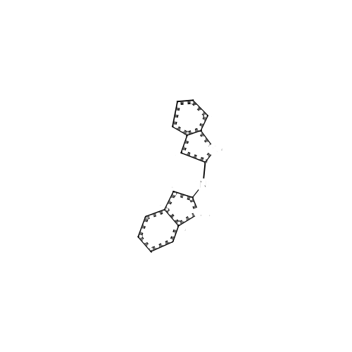 c1ccc2sc(Nc3cc4ccccc4s3)cc2c1